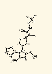 CC(C(=O)NCC(F)(F)F)N1CCC(n2c(CO)nc3cnc4[nH]ccc4c32)C1